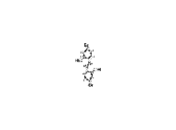 Oc1cc(Br)ccc1N=Nc1ccc(Br)cc1O